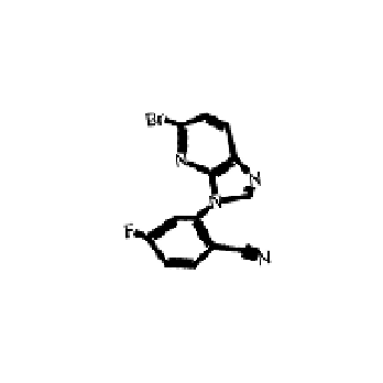 N#Cc1ccc(F)cc1-n1cnc2ccc(Br)nc21